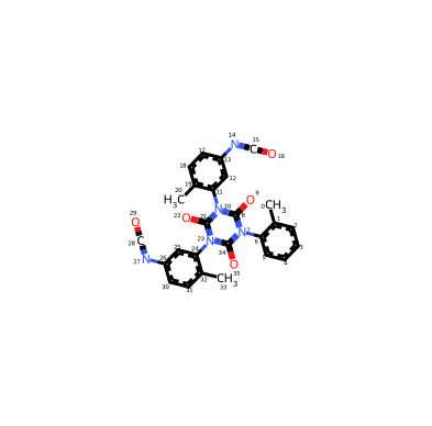 Cc1ccccc1-n1c(=O)n(-c2cc(N=C=O)ccc2C)c(=O)n(-c2cc(N=C=O)ccc2C)c1=O